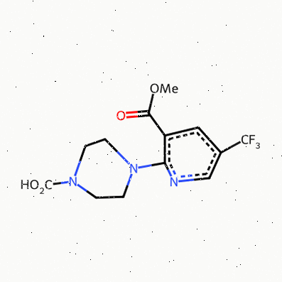 COC(=O)c1cc(C(F)(F)F)cnc1N1CCN(C(=O)O)CC1